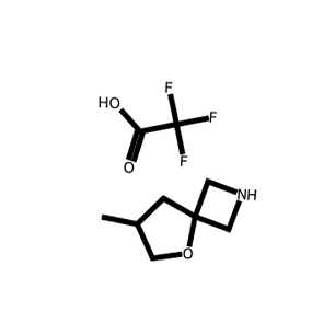 CC1COC2(CNC2)C1.O=C(O)C(F)(F)F